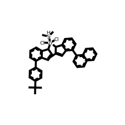 CC1=Cc2c(-c3cccc4ccccc34)cccc2[CH]1[Zr]([Cl])([Cl])([CH]1C=Cc2c(-c3ccc(C(C)(C)C)cc3)cccc21)[SiH](C)C